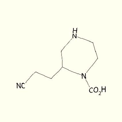 N#CCCC1CNCCN1C(=O)O